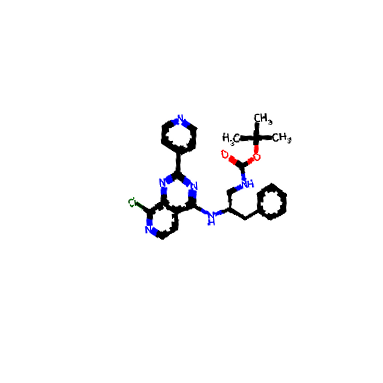 CC(C)(C)OC(=O)NC[C@@H](Cc1ccccc1)Nc1nc(-c2ccncc2)nc2c(Cl)nccc12